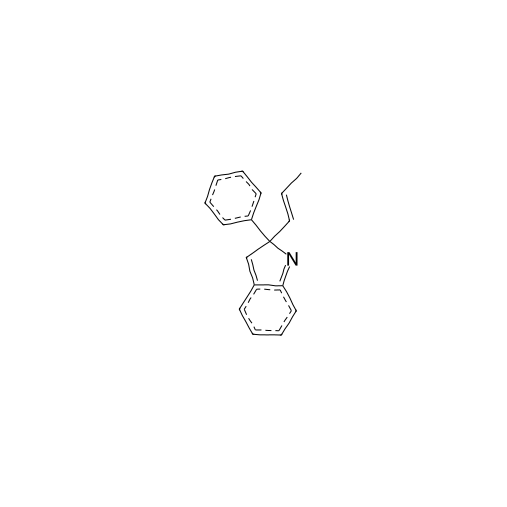 CC=CC1(c2ccccc2)C=c2ccccc2=N1